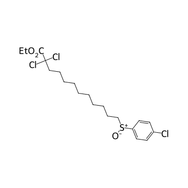 CCOC(=O)C(Cl)(Cl)CCCCCCCCCC[S+]([O-])c1ccc(Cl)cc1